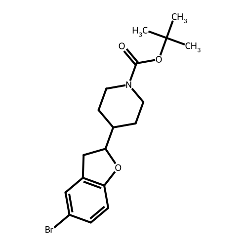 CC(C)(C)OC(=O)N1CCC(C2Cc3cc(Br)ccc3O2)CC1